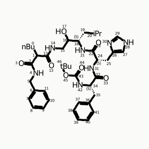 CCCCC(C(=O)NCc1ccccc1)C(=O)NCC(O)[C@H](CC(C)C)NC(=O)[C@H](Cc1c[nH]cn1)NC(=O)[C@H](Cc1ccccc1)NC(=O)OC(C)(C)C